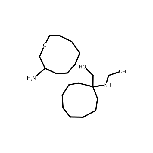 NC1CCCCCCCCC1.OCNC1(CO)CCCCCCCC1